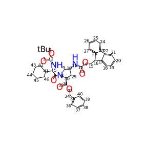 CC(C)(C)OC(=O)NC(C(=O)N1C[C@@H](NC(=O)OCC2c3ccccc3-c3ccccc32)C[C@H]1C(=O)OCc1ccccc1)C1CCCCC1